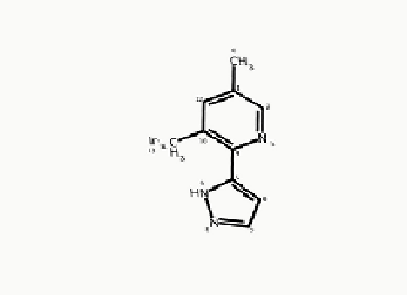 Cc1cnc(-c2ccn[nH]2)c(C)c1.[Ir]